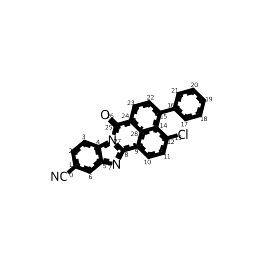 N#Cc1ccc2c(c1)nc1c3ccc(Cl)c4c(-c5ccccc5)ccc(c(=O)n21)c43